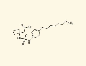 CCCCCCCCc1ccc(NS(=O)(=O)NC2(CC(=O)O)CCC2)cc1